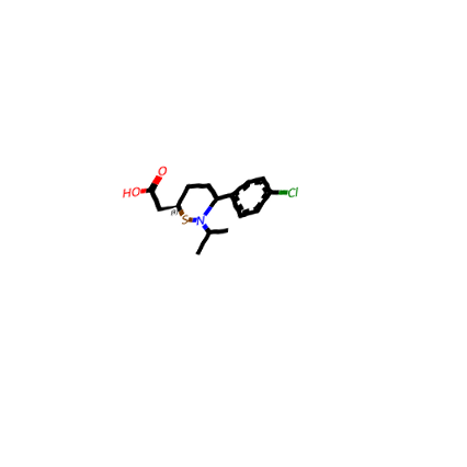 CC(C)N1S[C@@H](CC(=O)O)CCC1c1ccc(Cl)cc1